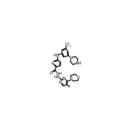 O=C(NNc1ncc(F)c(N2CCOCC2)n1)c1ccc(Nc2cc(N3CCNCC3)cc(C(F)(F)F)c2)cn1